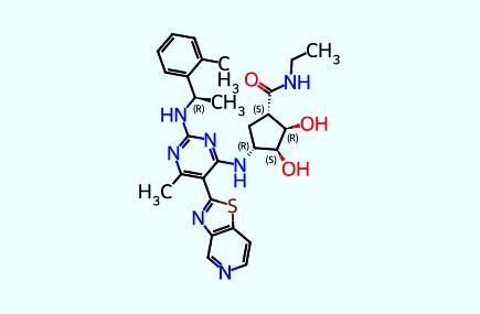 CCNC(=O)[C@H]1C[C@@H](Nc2nc(N[C@H](C)c3ccccc3C)nc(C)c2-c2nc3cnccc3s2)[C@H](O)[C@@H]1O